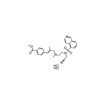 COC(=O)c1ccc(C=C(C)CN(C)CCN(CC#N)S(=O)(=O)c2cccc3cnccc23)cc1.Cl.Cl